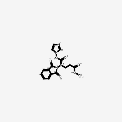 O=C(CCN(C(=O)On1ccnc1)N1C(=O)c2ccccc2C1=O)OP